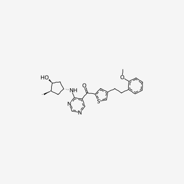 [CH2][C@@H]1C[C@@H](Nc2ncncc2C(=O)c2cc(CCc3ccccc3OC)cs2)C[C@@H]1O